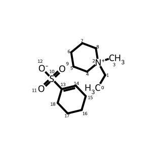 CC[N+]1(C)CCCCC1.O=S(=O)([O-])C1=CCCCC1